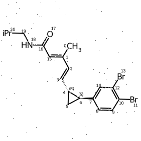 CC(C=C[C@H]1C[C@@H]1c1ccc(Br)c(Br)c1)=CC(=O)NCC(C)C